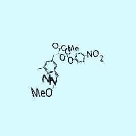 COCn1cc2cc(C[C@@H](OC(=O)Oc3ccc([N+](=O)[O-])cc3)C(=O)OC)cc(C)c2n1